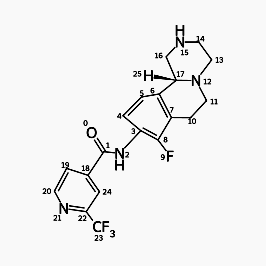 O=C(Nc1ccc2c(c1F)CCN1CCNC[C@@H]21)c1ccnc(C(F)(F)F)c1